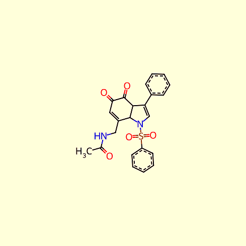 CC(=O)NCC1=CC(=O)C(=O)C2C(c3ccccc3)=CN(S(=O)(=O)c3ccccc3)C12